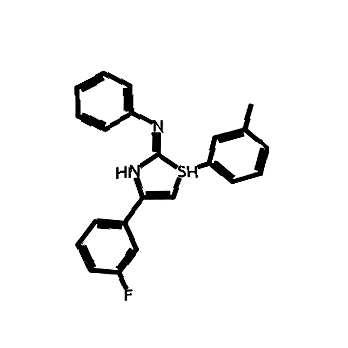 Cc1cccc([SH]2C=C(c3cccc(F)c3)NC2=Nc2ccccc2)c1